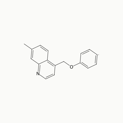 Cc1ccc2c(COc3cc[c]cc3)ccnc2c1